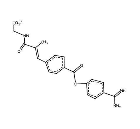 C/C(=C\c1ccc(C(=O)Oc2ccc(C(=N)N)cc2)cc1)C(=O)NCC(=O)O